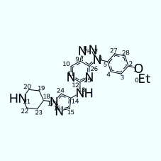 CCOc1ccc(-n2nnc3cnc(Nc4cnn(C5CCNCC5)c4)nc32)cc1